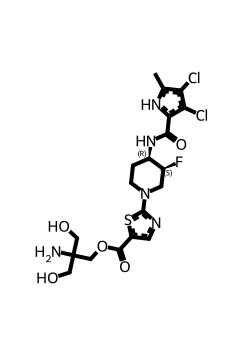 Cc1[nH]c(C(=O)N[C@@H]2CCN(c3ncc(C(=O)OCC(N)(CO)CO)s3)C[C@@H]2F)c(Cl)c1Cl